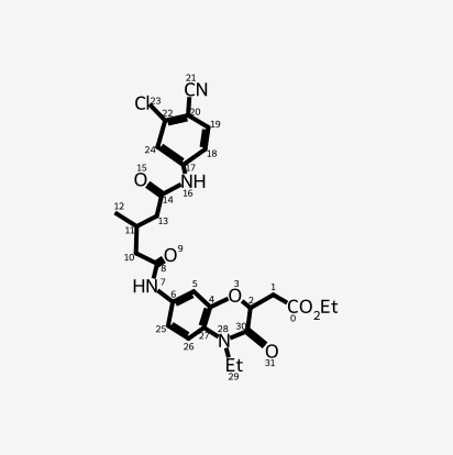 CCOC(=O)CC1Oc2cc(NC(=O)CC(C)CC(=O)Nc3ccc(C#N)c(Cl)c3)ccc2N(CC)C1=O